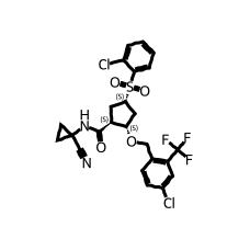 N#CC1(NC(=O)[C@H]2C[C@H](S(=O)(=O)c3ccccc3Cl)C[C@@H]2OCc2ccc(Cl)cc2C(F)(F)F)CC1